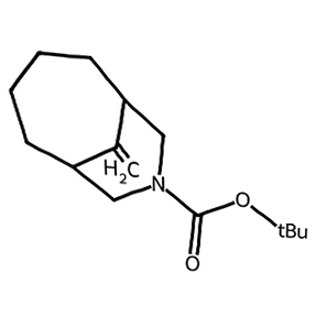 C=C1C2CCCCC1CN(C(=O)OC(C)(C)C)C2